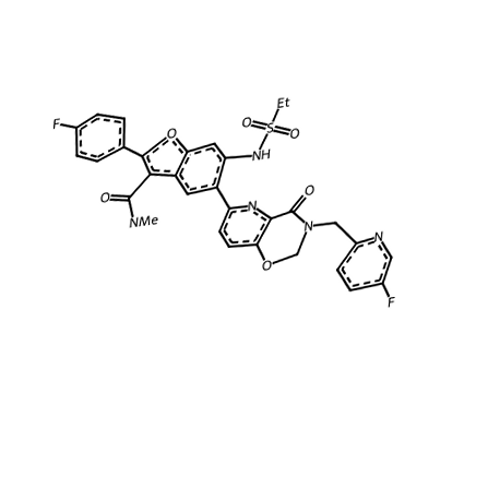 CCS(=O)(=O)Nc1cc2oc(-c3ccc(F)cc3)c(C(=O)NC)c2cc1-c1ccc2c(n1)C(=O)N(Cc1ccc(F)cn1)CO2